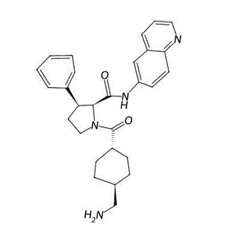 NC[C@H]1CC[C@H](C(=O)N2CC[C@@H](c3ccccc3)[C@H]2C(=O)Nc2ccc3ncccc3c2)CC1